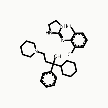 Clc1cccc(Cl)c1N=C1NCCN1.OC(CCN1CCCCC1)(c1ccccc1)C1CCCCC1